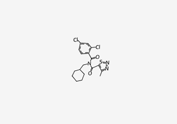 Cc1nnsc1C(=O)N(CC1CCCCC1)C(=O)c1ccc(Cl)cc1Cl